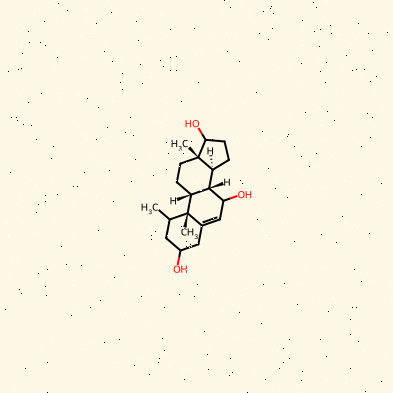 CC1CC(O)CC2=CC(O)[C@@H]3[C@@H](CC[C@]4(C)C(O)CC[C@@H]34)[C@]21C